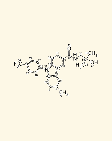 Cc1ccc2c(c1)c1cc(C(=O)NCC(C)(C)O)ccc1n2-c1ccc(C(F)(F)F)cc1